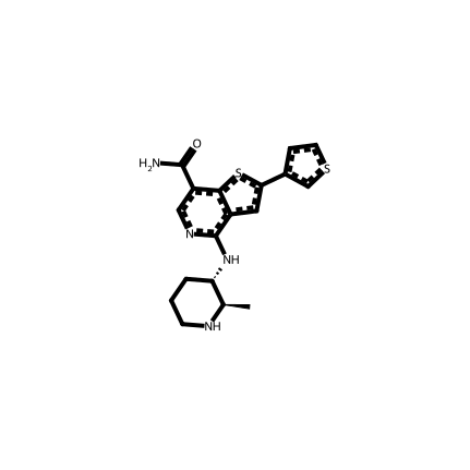 C[C@H]1NCCC[C@@H]1Nc1ncc(C(N)=O)c2sc(-c3ccsc3)cc12